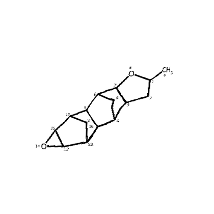 CC1CC2C3CC(C2O1)C1C2CC(C4OC24)C31